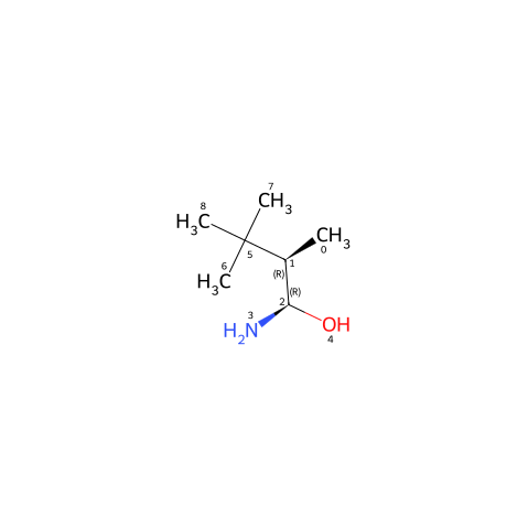 C[C@@H]([C@H](N)O)C(C)(C)C